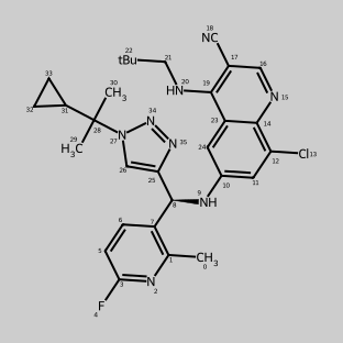 Cc1nc(F)ccc1[C@H](Nc1cc(Cl)c2ncc(C#N)c(NCC(C)(C)C)c2c1)c1cn(C(C)(C)C2CC2)nn1